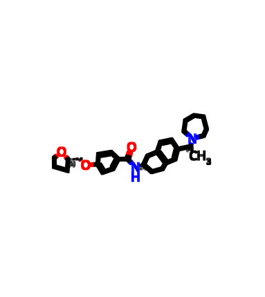 C[C@H](c1ccc2c(c1)CC[C@H](NC(=O)c1ccc(OC[C@@H]3CCCO3)cc1)C2)N1CCCCCC1